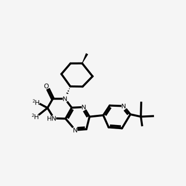 [2H]C1([2H])Nc2ncc(-c3ccc(C(C)(C)C)nc3)nc2N([C@H]2CC[C@H](C)CC2)C1=O